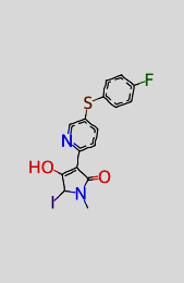 CN1C(=O)C(c2ccc(Sc3ccc(F)cc3)cn2)=C(O)C1I